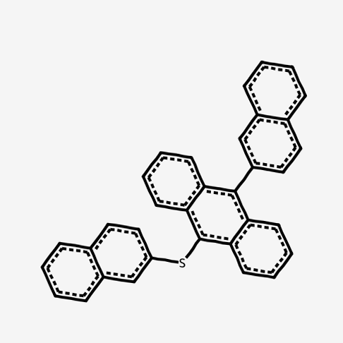 c1ccc2cc(Sc3c4ccccc4c(-c4ccc5ccccc5c4)c4ccccc34)ccc2c1